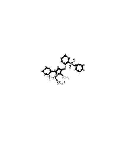 Cc1c(Cc2ccccc2S(=O)(=O)c2ccccc2)cc(-c2ccccc2C(F)(F)F)n1CC(=O)O